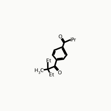 CCC(C)(CC)C(=O)c1ccc(C(=O)C(C)C)cc1